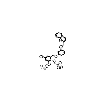 COc1cc(Cl)cc(COc2cccc(OCc3ccc4ccccc4n3)c2)c1OCC(=O)O